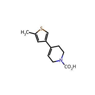 Cc1cc(C2=CCN(C(=O)O)CC2)cs1